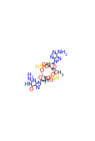 CC[C@@]12COP(=O)(S)O[C@@H]3C(COP(=O)(S)O[C@H]1C[C@H](n1cnc4c(N)ncnc41)O2)O[C@@H](n1cnc2c(=O)[nH]c(N)nc21)[C@@H]3F